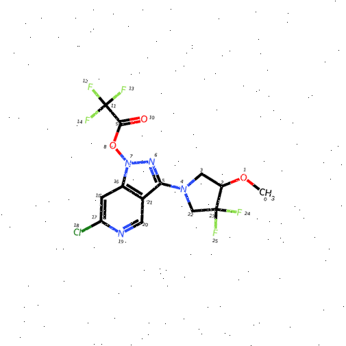 COC1CN(c2nn(OC(=O)C(F)(F)F)c3cc(Cl)ncc23)CC1(F)F